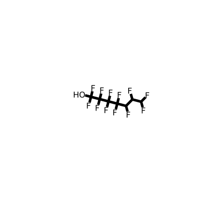 OC(F)(F)C(F)(F)C(F)(F)C(F)(F)C(F)C(F)C(F)F